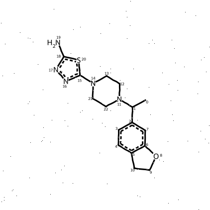 CC(c1ccc2c(c1)OCC2)N1CCN(c2nnc(N)s2)CC1